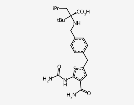 CC(C)C[C@@](NCc1ccc(Cc2cc(C(N)=O)c(NC(N)=O)s2)cc1)(C(=O)O)C(C)(C)C